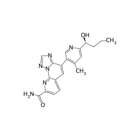 CCC[C@H](O)c1cc(C)c(-c2cc3ccc(C(N)=O)nc3n3ncnc23)cn1